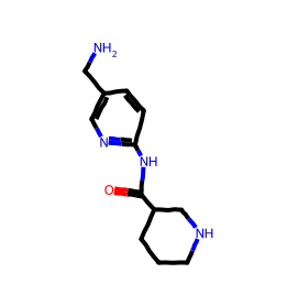 NCc1ccc(NC(=O)C2CCCNC2)nc1